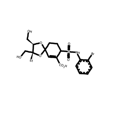 CC[C@]1(CO)OC2(C=C(C(=O)O)C(S(=O)(=O)Nc3ccccc3Br)CC2)O[C@@H]1CO